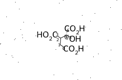 O=C(O)CC(C(=O)O)[C@@H](O)C(=O)O